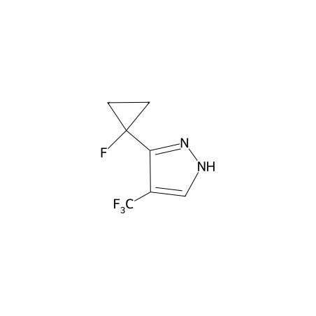 FC(F)(F)c1c[nH]nc1C1(F)CC1